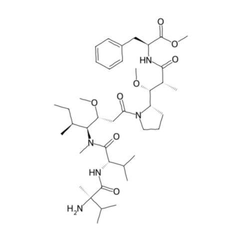 CC[C@H](C)[C@@H]([C@@H](CC(=O)N1CCC[C@H]1[C@H](OC)[C@@H](C)C(=O)N[C@@H](Cc1ccccc1)C(=O)OC)OC)N(C)C(=O)[C@@H](NC(=O)[C@](C)(N)C(C)C)C(C)C